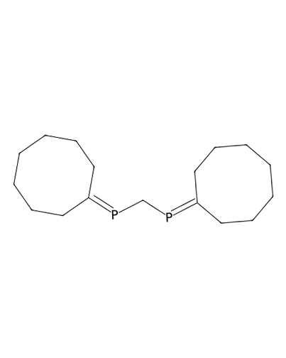 C1CCCC(=PCP=C2CCCCCCC2)CCC1